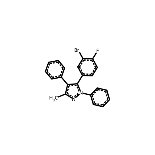 Cc1nn(-c2ccccc2)c(-c2ccc(F)c(Br)c2)c1-c1ccccc1